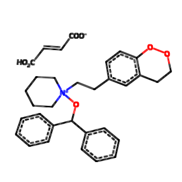 O=C([O-])C=CC(=O)O.c1ccc(C(O[N+]2(CCc3ccc4c(c3)CCOO4)CCCCC2)c2ccccc2)cc1